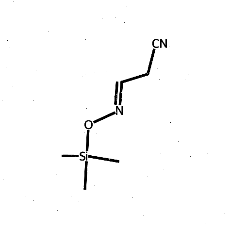 C[Si](C)(C)ON=CCC#N